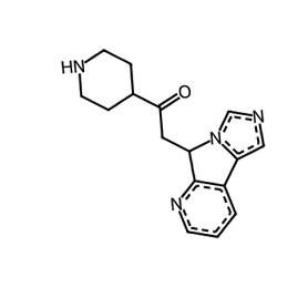 O=C(CC1c2ncccc2-c2cncn21)C1CCNCC1